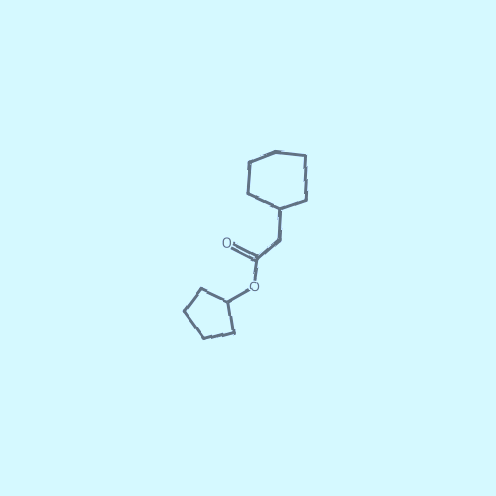 O=C(CC1CCCCC1)OC1CCCC1